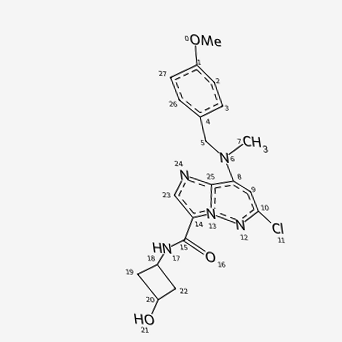 COc1ccc(CN(C)c2cc(Cl)nn3c(C(=O)NC4CC(O)C4)cnc23)cc1